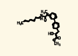 CCCCCCCNC(=O)N(C)c1cccc(-c2ccc(C[C@H](O)C(=O)OC)cc2)c1